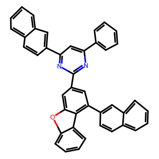 c1ccc(-c2cc(-c3ccc4ccccc4c3)nc(-c3cc(-c4ccc5ccccc5c4)c4c(c3)oc3ccccc34)n2)cc1